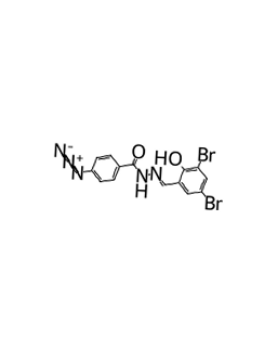 [N-]=[N+]=Nc1ccc(C(=O)NN=Cc2cc(Br)cc(Br)c2O)cc1